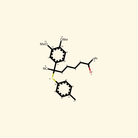 CCCC(Br)CCCCC(C#N)(Sc1ccc(C)cc1)c1ccc(OC)c(OC)c1